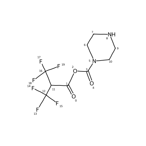 O=C(OC(=O)N1CCNCC1)C(C(F)(F)F)C(F)(F)F